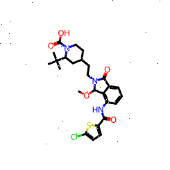 COC1c2c(NC(=O)c3ccc(Cl)s3)cccc2C(=O)N1CCC1CCN(C(=O)O)C(C(C)(C)C)C1